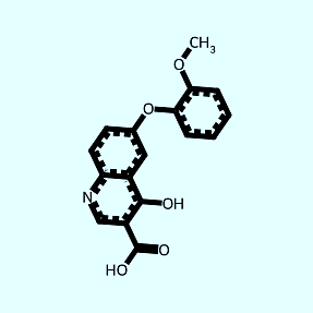 COc1ccccc1Oc1ccc2ncc(C(=O)O)c(O)c2c1